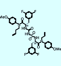 C=CCCN(C(=O)[C@H](Cc1cc(F)cc(F)c1)NC(=O)NS(=O)(=O)N[C@@H](Cc1cc(F)cc(F)c1)C(=O)N(CC=C)c1ccc(OC)cc1)c1ccc(OC)cc1